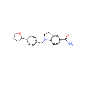 NC(=O)c1ccc2c(c1)CCN2Cc1ccc(C2CCCO2)cc1